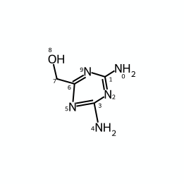 Nc1nc(N)nc(CO)n1